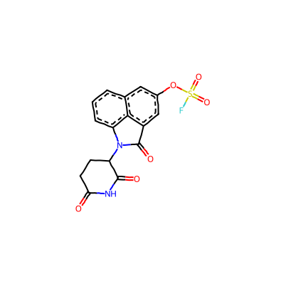 O=C1CCC(N2C(=O)c3cc(OS(=O)(=O)F)cc4cccc2c34)C(=O)N1